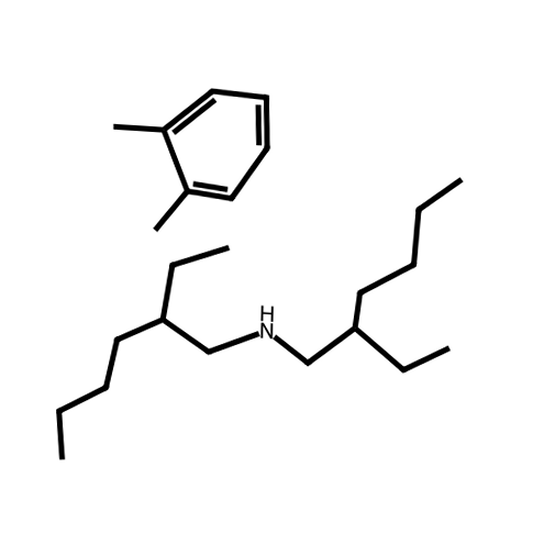 CCCCC(CC)CNCC(CC)CCCC.Cc1ccccc1C